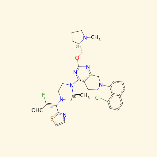 C[C@H]1CN(/C(=C(\F)C=O)c2nccs2)CCN1c1nc(OC[C@@H]2CCCN2C)nc2c1CCN(c1cccc3cccc(Cl)c13)C2